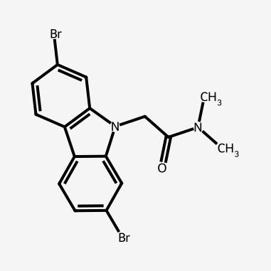 CN(C)C(=O)Cn1c2cc(Br)ccc2c2ccc(Br)cc21